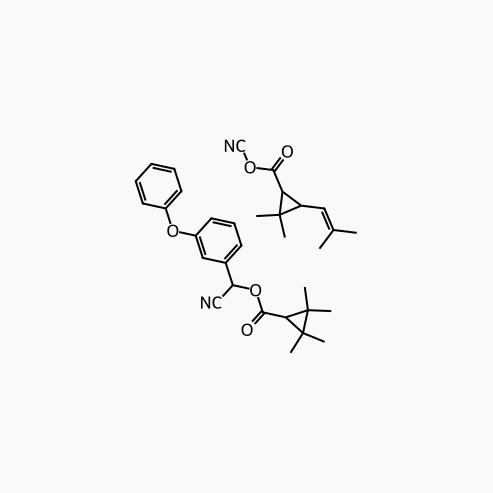 CC(C)=CC1C(C(=O)OC#N)C1(C)C.CC1(C)C(C(=O)OC(C#N)c2cccc(Oc3ccccc3)c2)C1(C)C